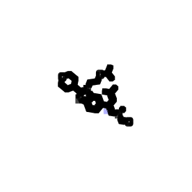 CC(C)=C/C(=C\N(C)C=O)c1ccc2nc(C3CCOCC3)n(CCOC(C)C)c2c1